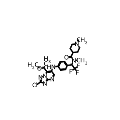 CO[C@@H](C)c1c(Nc2ccc([C@H](N(C)C(=O)C3CCN(C)CC3)C(F)(F)F)cc2)cnc2nc(Cl)nn12